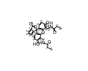 O=C(CI)NCc1c(O)ccc2c1Oc1c(ccc(O)c1CNC(=O)CI)C21OC(=O)c2ccccc21